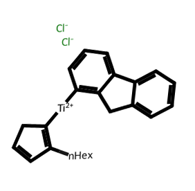 CCCCCCC1=[C]([Ti+2][c]2cccc3c2Cc2ccccc2-3)CC=C1.[Cl-].[Cl-]